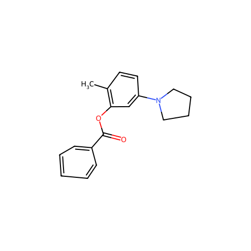 Cc1ccc(N2CCCC2)cc1OC(=O)c1ccccc1